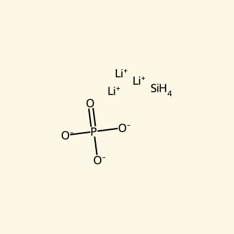 O=P([O-])([O-])[O-].[Li+].[Li+].[Li+].[SiH4]